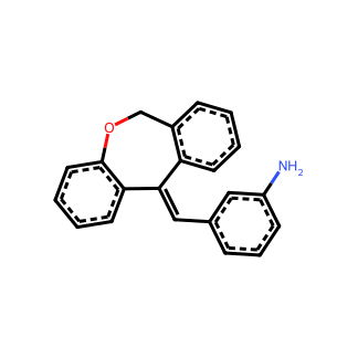 Nc1cccc(/C=C2\c3ccccc3COc3ccccc32)c1